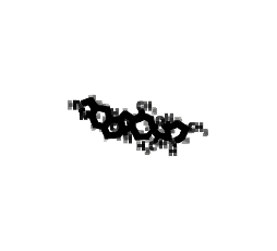 CC1=C2C[C@H]3[C@@H](CCC4Cc5n[nH]cc5C[C@@]43C)[C@@H]2CC[C@@]2(C1)O[C@@H]1C[C@H](C)CN[C@H]1[C@H]2C